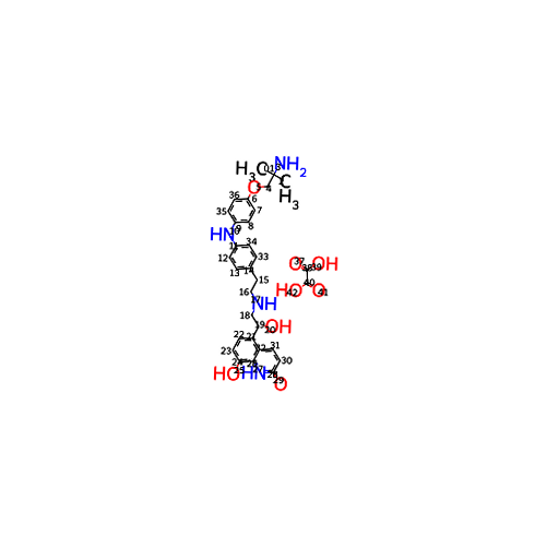 CC(C)(N)COc1ccc(Nc2ccc(CCNC[C@H](O)c3ccc(O)c4[nH]c(=O)ccc34)cc2)cc1.O=C(O)C(=O)O